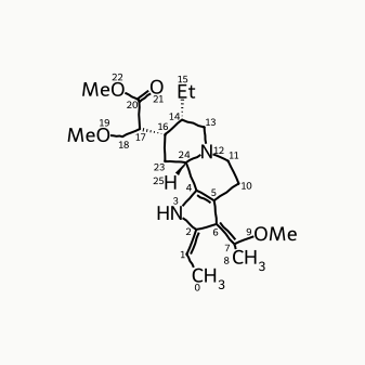 C/C=c1/[nH]c2c(/c1=C(/C)OC)CCN1C[C@@H](CC)[C@@H](C(COC)C(=O)OC)C[C@@H]21